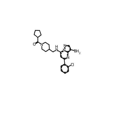 Bc1cnn2c(NCC3CCN(C(=O)C4CCCC4)CC3)cc(-c3ccccc3Cl)nc12